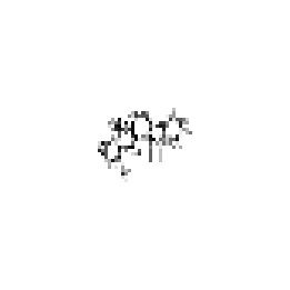 C=Cc1cncc2c(=O)n3c(cc12)-c1[nH]c2ccccc2c1CC3